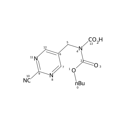 CCCCOC(=O)N(Cc1cnc(C#N)nc1)C(=O)O